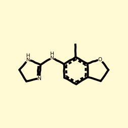 Cc1c(NC2=NCCN2)ccc2c1OCC2